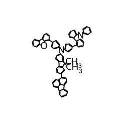 CC1(C)c2cc(-c3ccc4c5c(cccc35)-c3ccccc3-4)ccc2-c2ccc(N(c3ccc(-c4cccc5c4oc4ccccc45)cc3)c3ccc(-c4cccc5c4c4ccccc4n5-c4ccccc4)cc3)cc21